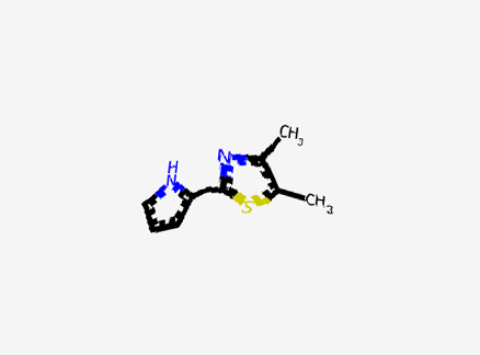 Cc1nc(-c2ccc[nH]2)sc1C